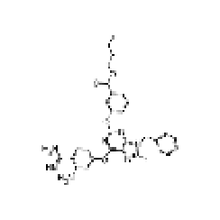 CCCCOC(=O)c1cccc(Oc2nc(Oc3ccc(C(=N)N)c(N)c3)c3nc(C)n(Cc4ccccc4)c3n2)c1